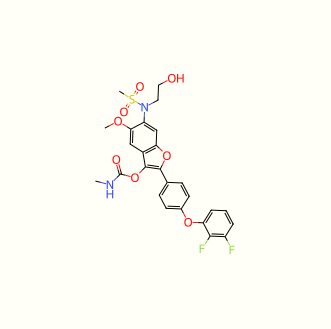 CNC(=O)Oc1c(-c2ccc(Oc3cccc(F)c3F)cc2)oc2cc(N(CCO)S(C)(=O)=O)c(OC)cc12